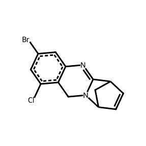 Clc1cc(Br)cc2c1CN1C(=N2)C2C=CC1C2